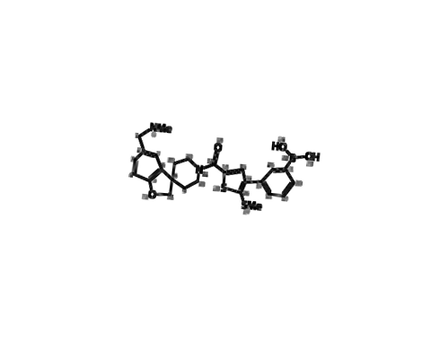 CNCc1ccc2c(c1)C1(CCN(C(=O)c3cc(-c4cccc(B(O)O)c4)c(SC)s3)CC1)CO2